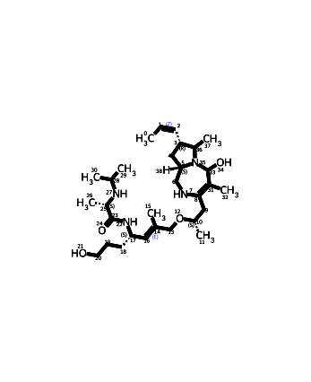 C/C=C\[C@H]1C[C@H]2CNC(C[C@H](C)OC/C(C)=C/[C@H](CCCO)NC(=O)[C@H](C)NC(C)C)=C(C)C(O)N2C1C